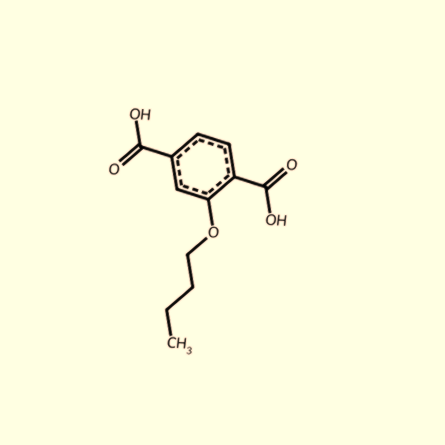 CCCCOc1cc(C(=O)O)ccc1C(=O)O